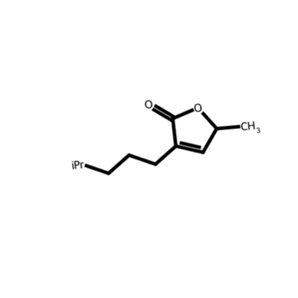 CC(C)CCCC1=CC(C)OC1=O